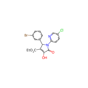 CCOC(=O)C1=C(O)C(=O)N(c2ccc(Cl)cn2)C1c1cccc(Br)c1